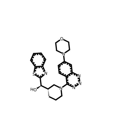 O[C@@H](c1nc2ccccc2s1)[C@H]1CCCN(c2nnnc3cc(N4CCOCC4)ccc23)C1